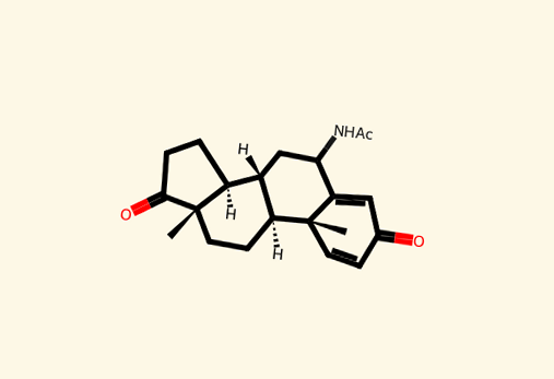 CC(=O)NC1C[C@@H]2[C@H](CC[C@]3(C)C(=O)CC[C@@H]23)[C@@]2(C)C=CC(=O)C=C12